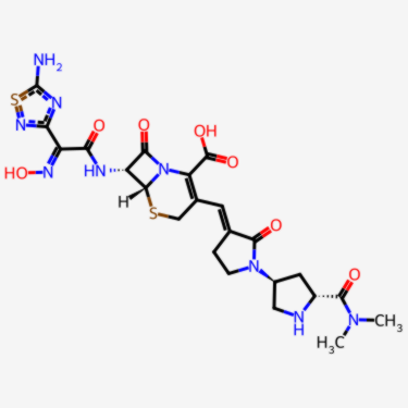 CN(C)C(=O)[C@H]1C[C@H](N2CCC(=CC3=C(C(=O)O)N4C(=O)[C@@H](NC(=O)C(=NO)c5nsc(N)n5)[C@H]4SC3)C2=O)CN1